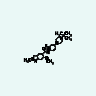 COc1cc2nn(C)cc2cc1C(=O)Nc1ccc(N2CCN(C(C)(C)C)CC2)cc1F